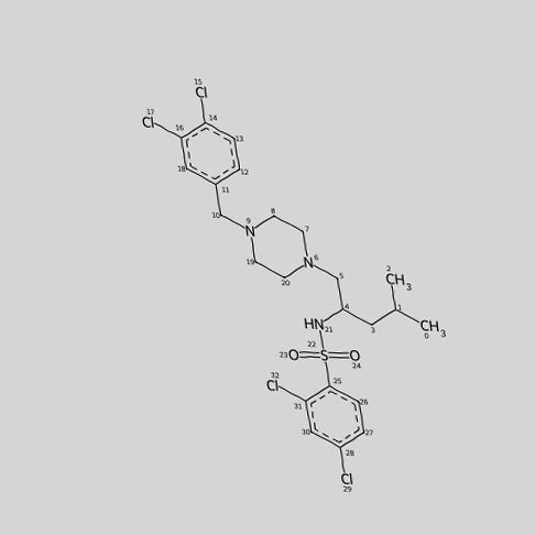 CC(C)CC(CN1CCN(Cc2ccc(Cl)c(Cl)c2)CC1)NS(=O)(=O)c1ccc(Cl)cc1Cl